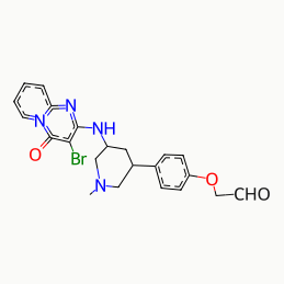 CN1CC(Nc2nc3ccccn3c(=O)c2Br)CC(c2ccc(OCC=O)cc2)C1